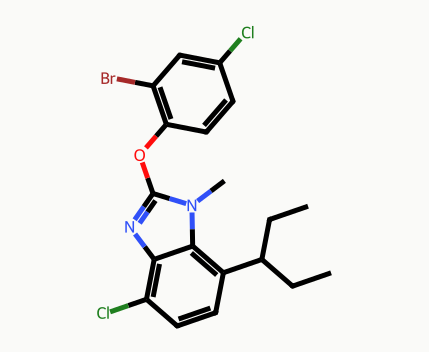 CCC(CC)c1ccc(Cl)c2nc(Oc3ccc(Cl)cc3Br)n(C)c12